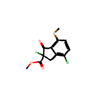 COC(=O)C1(F)Cc2c(Br)ccc(SC)c2C1=O